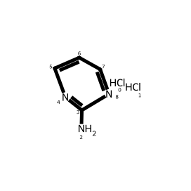 Cl.Cl.Nc1ncccn1